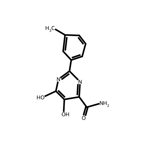 Cc1cccc(-c2nc(O)c(O)c(C(N)=O)n2)c1